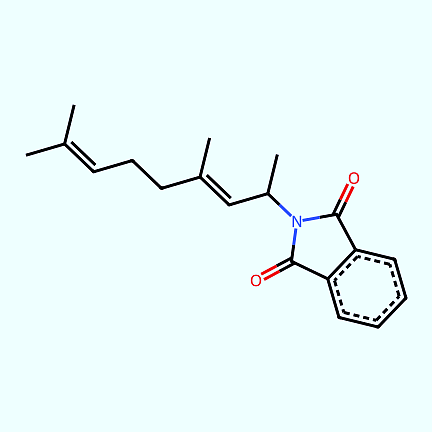 CC(C)=CCC/C(C)=C/C(C)N1C(=O)c2ccccc2C1=O